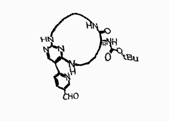 CC(C)(C)OC(=O)N[C@H]1CCCCNc2nc(ncc2-c2ccc(C=O)cn2)NCCCCCCNC1=O